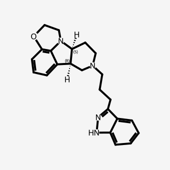 c1cc2c3c(c1)[C@@H]1CN(CCCc4n[nH]c5ccccc45)CC[C@@H]1N3CCO2